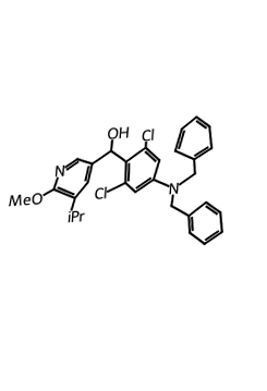 COc1ncc(C(O)c2c(Cl)cc(N(Cc3ccccc3)Cc3ccccc3)cc2Cl)cc1C(C)C